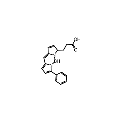 O=C(O)CCC1C=CC2=Cc3ccc(-c4ccccc4)n3BN21